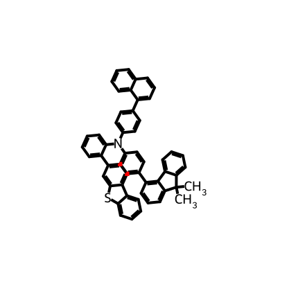 CC1(C)c2ccccc2-c2c(-c3ccc(N(c4ccc(-c5cccc6ccccc56)cc4)c4ccccc4-c4ccc5c(c4)sc4ccccc45)cc3)cccc21